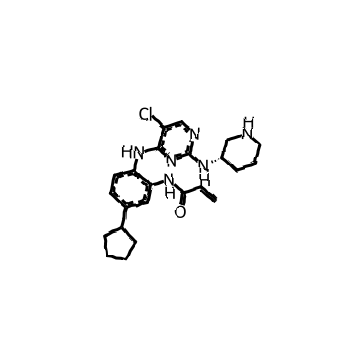 C=CC(=O)Nc1cc(C2CCCC2)ccc1Nc1nc(N[C@H]2CCCNC2)ncc1Cl